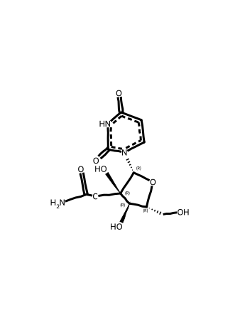 NC(=O)C[C@@]1(O)[C@H](O)[C@@H](CO)O[C@H]1n1ccc(=O)[nH]c1=O